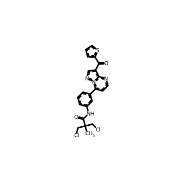 CC(CCl)(CCl)C(=O)Nc1cccc(-c2ccnc3c(C(=O)c4cccs4)cnn23)c1